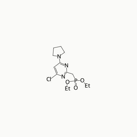 CCOP(=O)(Cc1nc(Cl)cc(N2CCCC2)n1)OCC